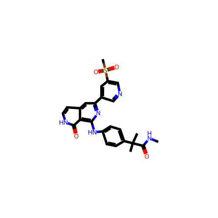 CNC(=O)C(C)(C)c1ccc(Nc2nc(-c3cncc(S(C)(=O)=O)c3)cc3cc[nH]c(=O)c23)cc1